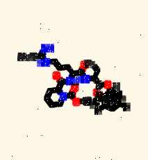 CNC(=N)NCCC[C@H](NC(=O)C1CCCCN1C(=O)OC(C)(C)C)C(=O)N[C@@H](CC(C)C)B1O[C@@H]2C[C@@H]3C[C@@H](C3(C)C)[C@]2(C)O1